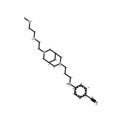 COCCOCCN1CC2CC(CN(CCCNc3ccc(C#N)cc3)C2)C1